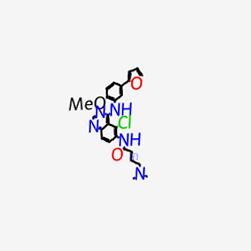 COc1ccc(-c2ccco2)cc1Nc1ncnc2ccc(NC(=O)/C=C/CN(C)C)c(Cl)c12